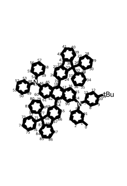 Cc1cccc(N(c2ccc(C(C)(C)C)cc2)c2ccc3c(-c4ccc5c(c4)C(c4ccccc4)(c4ccccc4)c4ccccc4-5)c4cc(N(c5ccccc5)c5ccccc5)ccc4c(-c4ccc5c(c4)C(c4ccccc4)(c4ccccc4)c4ccccc4-5)c3c2)c1